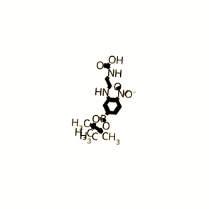 CC1(C)OB(c2ccc([N+](=O)[O-])c(NCCNC(=O)O)c2)OC1(C)C